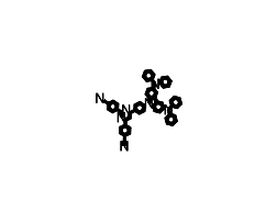 N#Cc1ccc(-c2cc(-c3ccc(-n4c5ccc(N(c6ccccc6)c6ccccc6)cc5c5cc(N(c6ccccc6)c6ccccc6)ccc54)cc3)nc(-c3ccc(C#N)cc3)n2)cc1